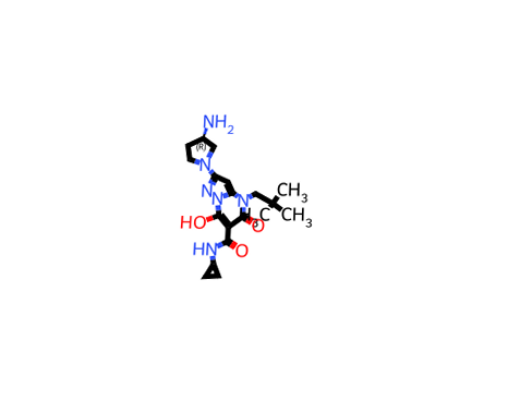 CC(C)(C)Cn1c(=O)c(C(=O)NC2CC2)c(O)n2nc(N3CC[C@@H](N)C3)cc12